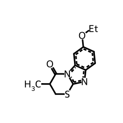 CCOc1ccc2nc3n(c2c1)C(=O)C(C)CS3